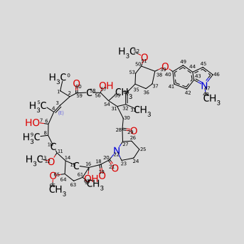 CCC1/C=C(\C)C(O)C(C)CC(OC)C2CC(O)(C(=O)C(=O)N3CCCCC3C(=O)CC(C(C)=CC3CCC(Oc4ccc5c(ccn5C)c4)C(OC)C3)C(C)C(O)CC1=O)C(C)CC2OC